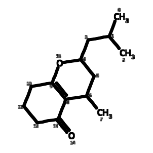 CC(C)CC1CC(C)C2=C(CCCC2=O)O1